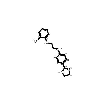 Cc1ccccc1OCCOc1ccc(C2SCCS2)cc1